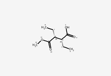 CC[C@@H](C(=O)O)[C@@H](CC)C(=O)OC